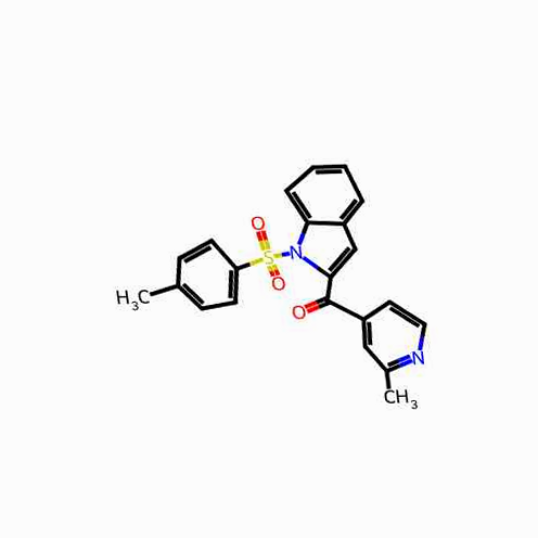 Cc1ccc(S(=O)(=O)n2c(C(=O)c3ccnc(C)c3)cc3ccccc32)cc1